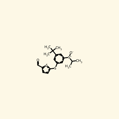 CC(C)[S+]([O-])c1cc(Sc2ccc(C=O)s2)cc(C(C)(C)C)c1